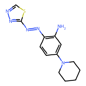 Nc1cc(N2CCCCC2)ccc1N=Nc1nncs1